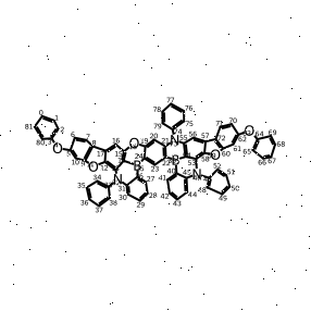 c1ccc(Oc2ccc3c(c2)oc2c4c5c(cc23)Oc2cc3c(cc2B5c2ccccc2N4c2ccccc2)B2c4ccccc4N(c4ccccc4)c4c2c(cc2c4oc4cc(Oc5ccccc5)ccc42)N3c2ccccc2)cc1